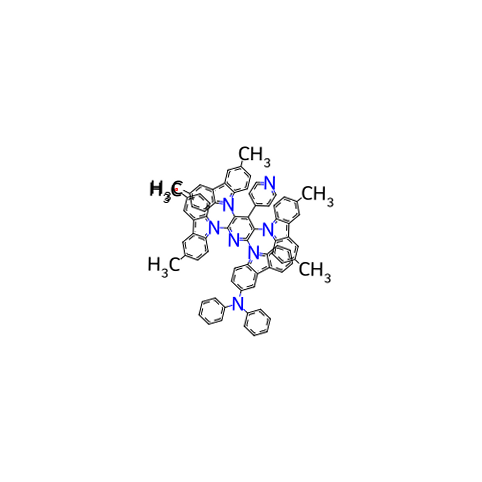 Cc1ccc2c(c1)c1cc(C)ccc1n2-c1nc(-n2c3ccccc3c3cc(N(c4ccccc4)c4ccccc4)ccc32)c(-n2c3ccc(C)cc3c3cc(C)ccc32)c(-c2ccncc2)c1-n1c2ccc(C)cc2c2cc(C)ccc21